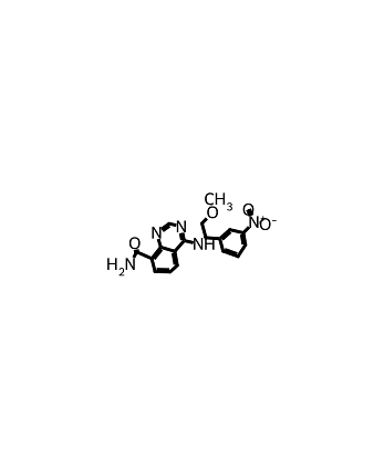 COCC(Nc1ncnc2c(C(N)=O)cccc12)c1cccc([N+](=O)[O-])c1